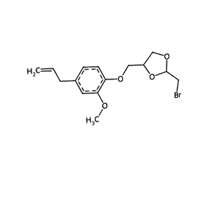 C=CCc1ccc(OCC2COC(CBr)O2)c(OC)c1